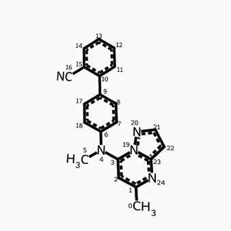 Cc1cc(N(C)c2ccc(-c3ccccc3C#N)cc2)n2nccc2n1